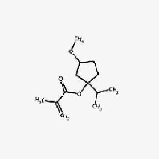 C=C(C)C(=O)OC1(C(C)C)CCC(OC)C1